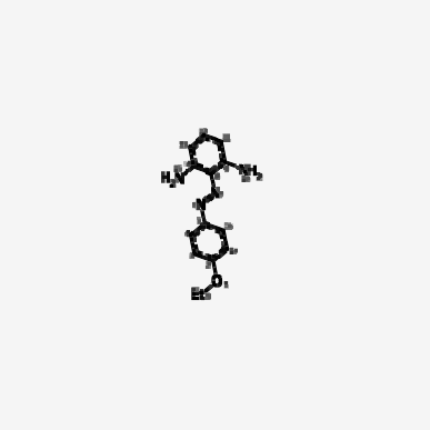 CCOc1ccc(N=Nc2c(N)cccc2N)cc1